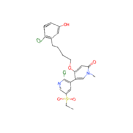 CCS(=O)(=O)c1cnc(Cl)c(-c2cn(C)c(=O)cc2OCCCCc2cc(O)ccc2Cl)c1